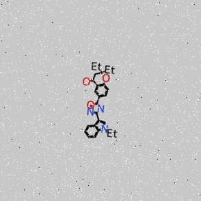 CCn1cc(-c2noc(-c3ccc4c(c3)C(=O)CC(CC)(CC)O4)n2)c2ccccc21